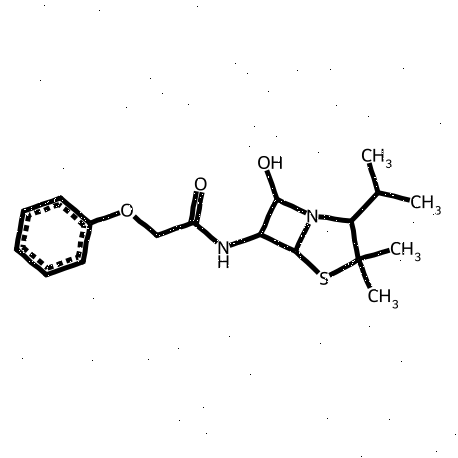 CC(C)C1N2C(O)C(NC(=O)COc3ccccc3)C2SC1(C)C